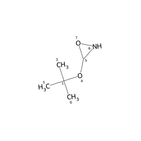 CC(C)(C)OC1NO1